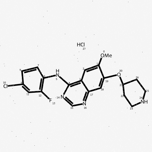 COc1cc2c(Nc3ccc(Cl)cc3F)ncnc2cc1OC1CCNCC1.Cl